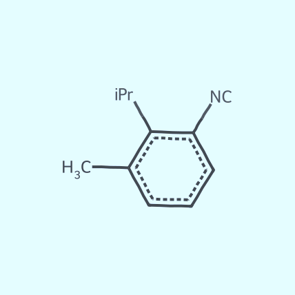 [C-]#[N+]c1cccc(C)c1C(C)C